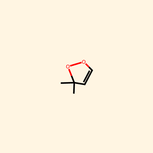 CC1(C)C=COO1